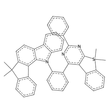 CC1(C)c2ccccc2-c2c1ccc1c3ccccc3n(-c3ccccc3-c3nc(-c4ccccc4)nc4c3-c3ccccc3[Si]4(C)C)c21